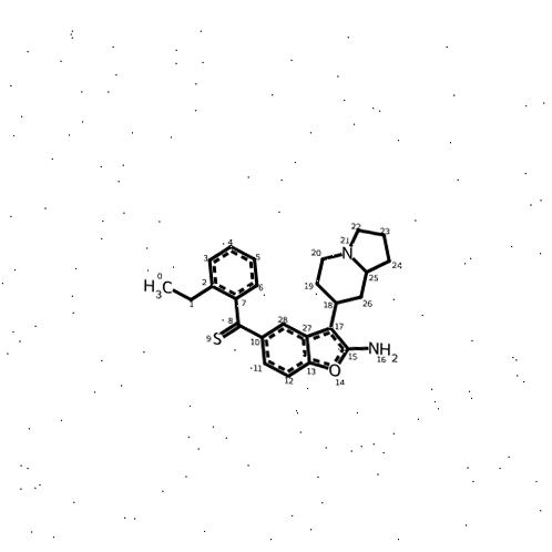 CCc1ccccc1C(=S)c1ccc2oc(N)c(C3CCN4CCCC4C3)c2c1